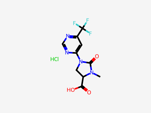 CN1C(=O)N(c2cc(C(F)(F)F)ncn2)CC1C(=O)O.Cl